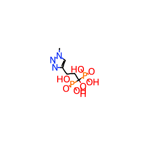 Cn1cc(CCC(O)(P(=O)(O)O)P(=O)(O)O)nn1